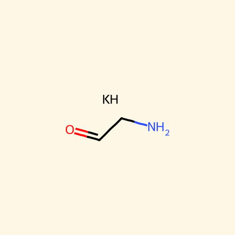 NCC=O.[KH]